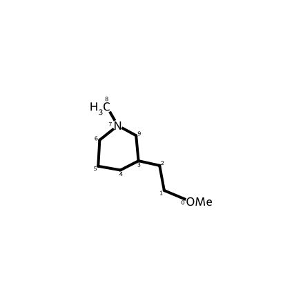 COCCC1CCCN(C)C1